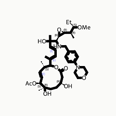 CC[C@H](OC)[C@@H](C)[C@H]1O[C@@H]1C(NCc1ccc(N2CCOCC2)cc1)C(C)(O)/C=C/C=C(\C)C1OC(=O)C[C@H](O)CC[C@@](C)(O)[C@@H](OC(C)=O)/C=C/[C@@H]1C